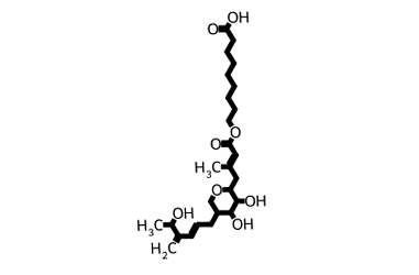 C=C(/C=C/CC1COC(C/C(C)=C/C(=O)OCCCCCCCCC(=O)O)C(O)C1O)C(C)O